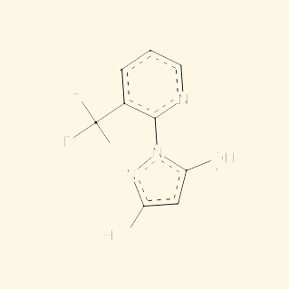 Cc1cc(O)n(-c2ncccc2C(F)(F)F)n1